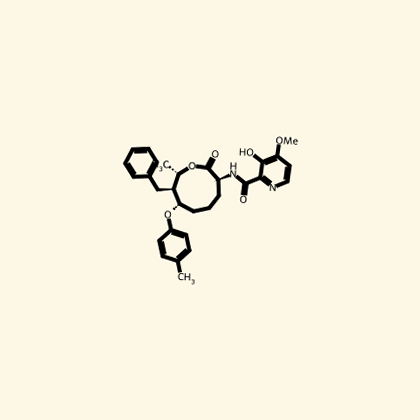 COc1ccnc(C(=O)N[C@H]2CCC[C@H](Oc3ccc(C)cc3)[C@@H](Cc3ccccc3)[C@H](C)OC2=O)c1O